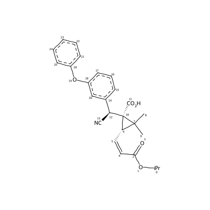 CC(C)OC(=O)/C=C\[C@H]1C(C)(C)[C@]1(C(=O)O)[C@@H](C#N)c1cccc(Oc2ccccc2)c1